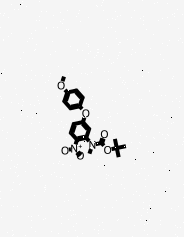 COc1ccc(Oc2ccc([N+](=O)[O-])c(N(C)C(=O)OC(C)(C)C)c2)cc1